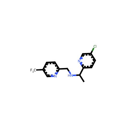 CC(NCc1ccc(C(F)(F)F)cn1)c1ccc(Cl)cn1